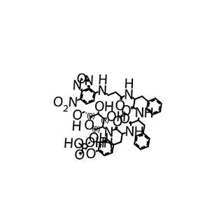 O=C(CCNc1ccc([N+](=O)[O-])c2nonc12)NC(Cc1ccccc1)C(=O)NC(Cc1ccccc1)C(=O)NC(Cc1ccc(OP(=O)(O)O)cc1)C(=O)NC1[C@@H](O)C(O)[C@@H](CO)O[C@H]1O